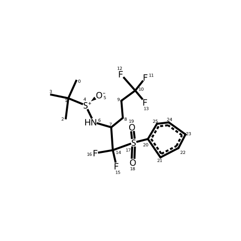 CC(C)(C)[S@@+]([O-])NC(CCC(F)(F)F)C(F)(F)S(=O)(=O)c1ccccc1